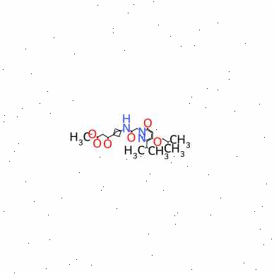 COC(=O)CC(=O)C12CC(NC(=O)Cn3nc(C(C)C)c(OCC(C)C)cc3=O)(C1)C2